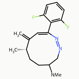 C=C1/C=C(c2c(F)cccc2F)\N=N/CC(NC)CC[C@@H]1C